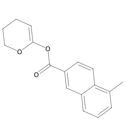 Cc1cccc2cc(C(=O)OC3=CCCCO3)ccc12